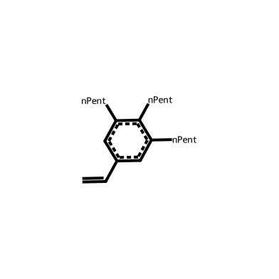 C=Cc1cc(CCCCC)c(CCCCC)c(CCCCC)c1